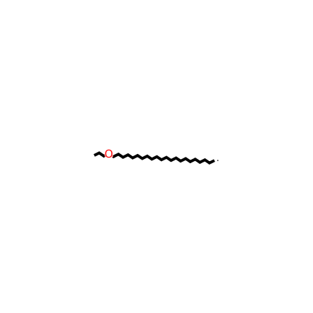 [CH2]CCCCCCCCCCCCCCCCCCCCCOCCC